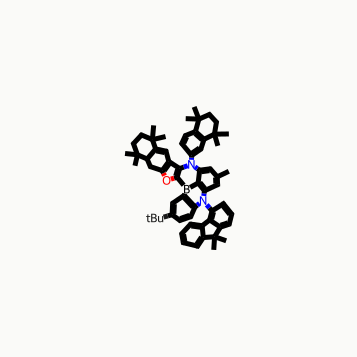 Cc1cc2c3c(c1)N(c1ccc4c(c1)C(C)(C)CCC4(C)C)c1c(oc4c1C=C1C(C4)C(C)(C)CCC1(C)C)B3c1cc(C(C)(C)C)ccc1N2c1cccc2c1-c1ccccc1C2(C)C